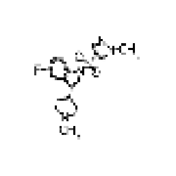 CN1CC=C(c2cn(S(=O)(=O)c3cnn(C)c3)c3ccc(F)cc23)CC1